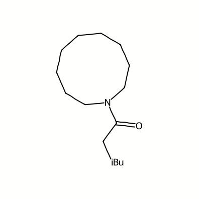 CCC(C)CC(=O)N1CCCCCCCCC1